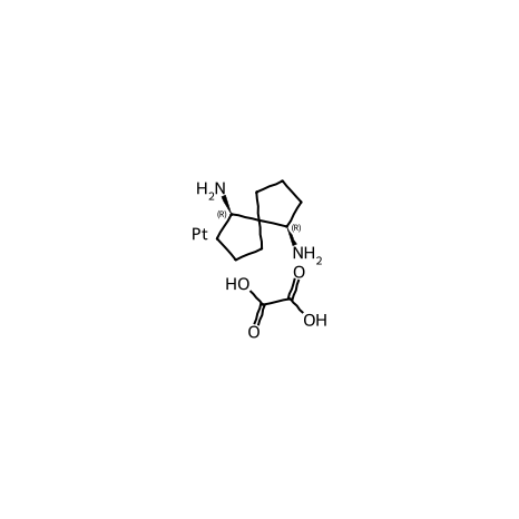 N[C@@H]1CCCC12CCC[C@H]2N.O=C(O)C(=O)O.[Pt]